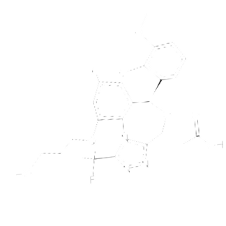 COc1cccc([C@H]2O[C@H](CC(=O)O)c3nnc(C(F)(F)F)n3-c3c(OCCCO)cc(Cl)cc32)c1Cl